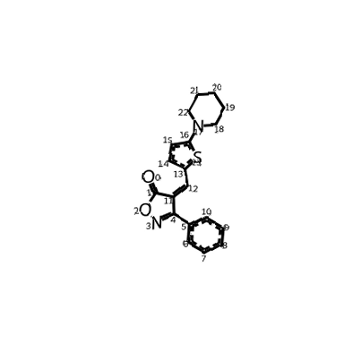 O=C1ON=C(c2ccccc2)/C1=C/c1ccc(N2CCCCC2)s1